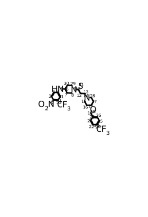 O=[N+]([O-])c1ccc(NC2CCN(C(=S)CCN3CCC(OCc4ccc(C(F)(F)F)cc4)CC3)CC2)cc1C(F)(F)F